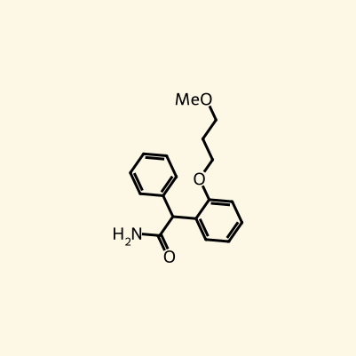 COCCCOc1ccccc1C(C(N)=O)c1ccccc1